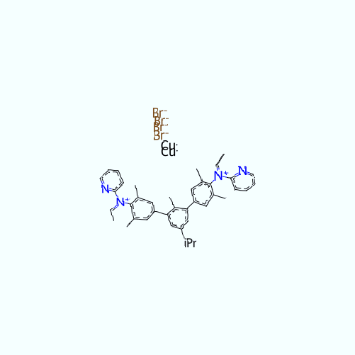 CC=[N+](c1ccccn1)c1c(C)cc(-c2cc(C(C)C)cc(-c3cc(C)c([N+](=CC)c4ccccn4)c(C)c3)c2C)cc1C.[Br-].[Br-].[Br-].[Br-].[Cu].[Cu]